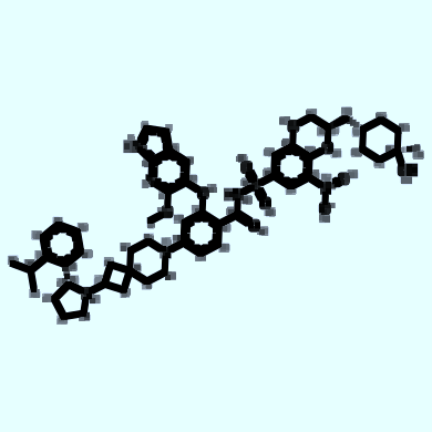 COc1nc2[nH]ccc2cc1Oc1cc(N2CCC3(CC2)CC(N2CCC[C@@H]2c2ccccc2C(C)C)C3)ccc1C(=O)NS(=O)(=O)c1cc2c(c([N+](=O)[O-])c1)O[C@H](C[C@H]1CC[C@](C)(O)CC1)CO2